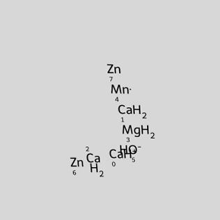 [CaH+].[CaH2].[CaH2].[MgH2].[Mn].[OH-].[Zn].[Zn]